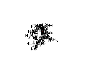 CCn1cc(CC[C@H](NC(=O)[C@H](CCC(N)=O)NC(=O)[C@H](Cc2c[nH]c3ccccc23)NC(=O)[C@H](CCCNC(N)=O)NC(=O)[C@H](CS)NC(=O)[C@H](CCCNC(=N)N)NC(=O)[C@@H]2CCCN2C(=O)[C@H](CC(=O)O)NC(=O)[C@@H](NC(=O)[C@H](C)NC(=O)[C@H](CS)NC(=O)CN)[C@@H](C)O)C(=O)N[C@@H](Cc2ccc(O)cc2)C(=O)O)nn1